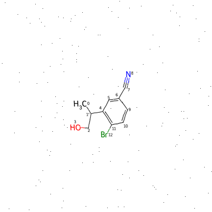 C[C](CO)c1cc(C#N)ccc1Br